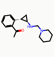 CC(=O)c1ccccc1[C@@H]1C[C@H]1NCN1CCCCC1